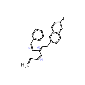 C=C\C=C/C(/C=C\c1ccccc1)=C\Cc1ccc2cc(I)ccc2c1